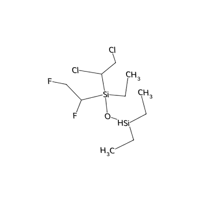 CC[SiH](CC)O[Si](CC)(C(F)CF)C(Cl)CCl